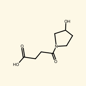 O=C(O)CCC(=O)N1CCC(O)C1